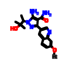 CCOc1ccc2cc(-c3nn(C(C)C(C)(C)O)c(N)c3C(N)=O)cnc2c1